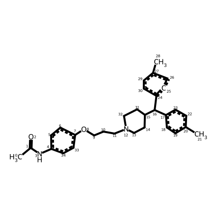 CC(=O)Nc1ccc(OCCCN2CCC(C(c3ccc(C)cc3)c3ccc(C)cc3)CC2)cc1